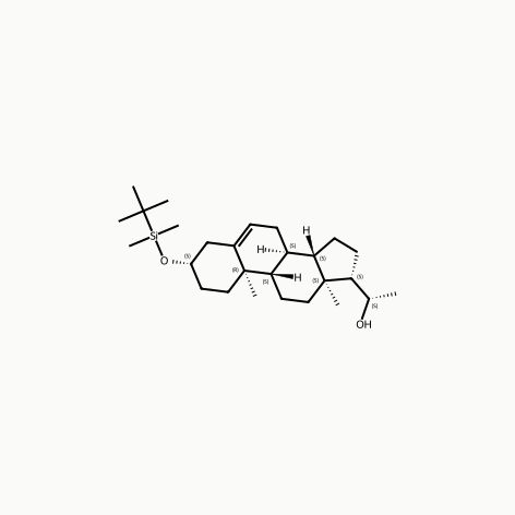 C[C@H](O)[C@H]1CC[C@H]2[C@@H]3CC=C4C[C@@H](O[Si](C)(C)C(C)(C)C)CC[C@]4(C)[C@H]3CC[C@]12C